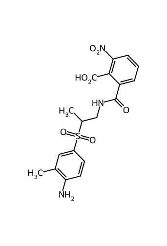 Cc1cc(S(=O)(=O)C(C)CNC(=O)c2cccc([N+](=O)[O-])c2C(=O)O)ccc1N